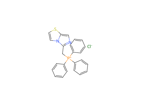 [Cl-].c1ccc([P+](Cc2ncc3sccn23)(c2ccccc2)c2ccccc2)cc1